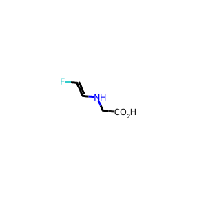 O=C(O)CNC=CF